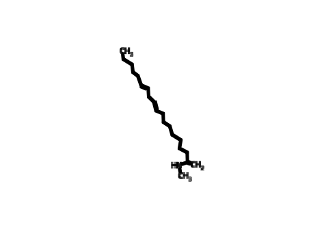 C=C(CCCCCCC/C=C/C/C=C/CCCCC)NC